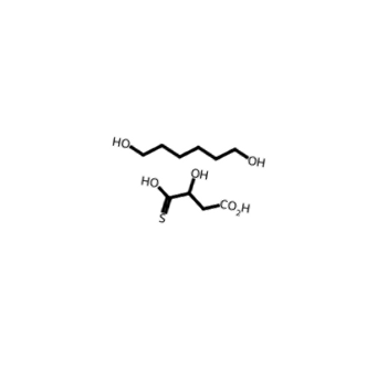 O=C(O)CC(O)C(O)=S.OCCCCCCO